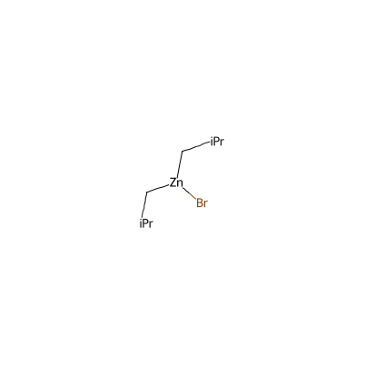 CC(C)[CH2][Zn]([Br])[CH2]C(C)C